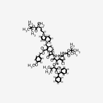 COc1ccc(COC(=O)C2=C(C[n+]3cccc4c3ccn4CCCN(C)C(=O)OC(C)(C)C)CSC3C(NC(=O)/C(=N\O[C@@H](C(=O)OC(c4ccccc4)c4ccccc4)C(C)C)c4nc(NC(=O)OC(C)(C)C)sc4Cl)C(=O)N23)cc1